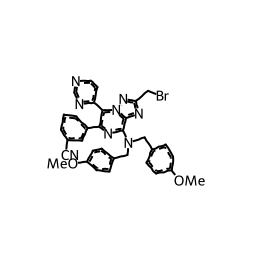 COc1ccc(CN(Cc2ccc(OC)cc2)c2nc(-c3cccc(C#N)c3)c(-c3ccncn3)n3nc(CBr)nc23)cc1